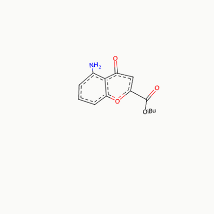 CC(C)COC(=O)c1cc(=O)c2c(N)cccc2o1